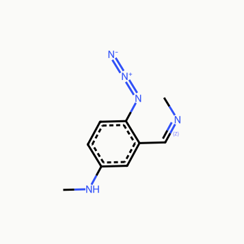 C/N=C\c1cc(NC)ccc1N=[N+]=[N-]